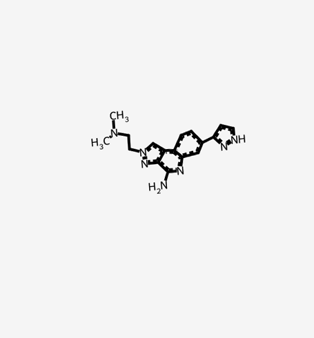 CN(C)CCn1cc2c(n1)c(N)nc1cc(-c3cc[nH]n3)ccc12